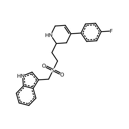 O=S(=O)(CCC1CC(c2ccc(F)cc2)=CCN1)Cc1c[nH]c2ccccc12